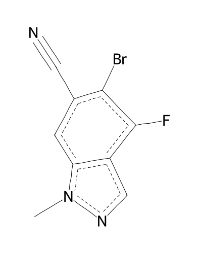 Cn1ncc2c(F)c(Br)c(C#N)cc21